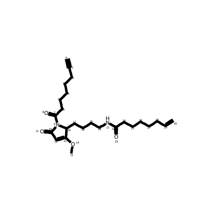 C#CCCCCCC(=O)N1C(=O)C=C(OC)C1CCCCNC(=O)CCCCCC=C